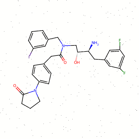 N[C@@H](Cc1cc(F)cc(F)c1)[C@H](O)CN(Cc1cccc(I)c1)C(=O)Cc1ccc(N2CCCC2=O)cc1